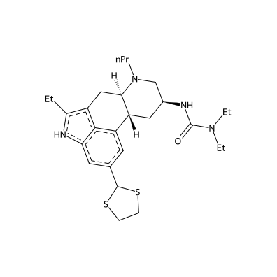 CCCN1C[C@@H](NC(=O)N(CC)CC)C[C@@H]2c3cc(C4SCCS4)cc4[nH]c(CC)c(c34)C[C@H]21